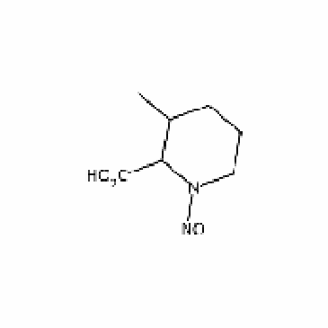 CC1CCCN(N=O)C1C(=O)O